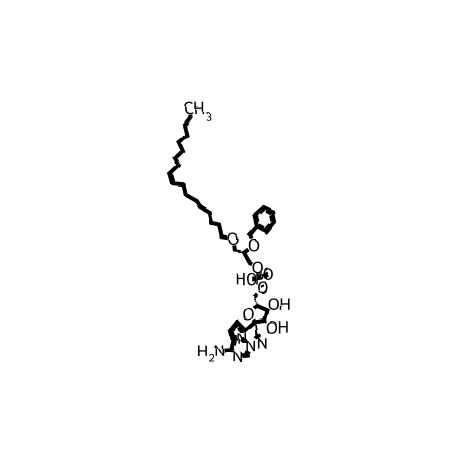 CCCCCCCC/C=C\CCCCCCCCOC[C@H](COP(=O)(O)OC[C@H]1O[C@@](C#N)(c2ccc3c(N)ncnn23)[C@H](O)[C@@H]1O)OCc1ccccc1